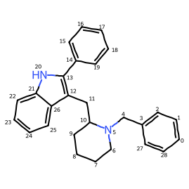 c1ccc(CN2CCCCC2Cc2c(-c3ccccc3)[nH]c3ccccc23)cc1